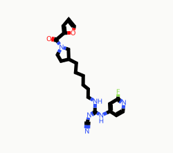 N#C/N=C(/NCCCCCCC1CCN(C(=O)c2ccco2)C1)Nc1ccnc(F)c1